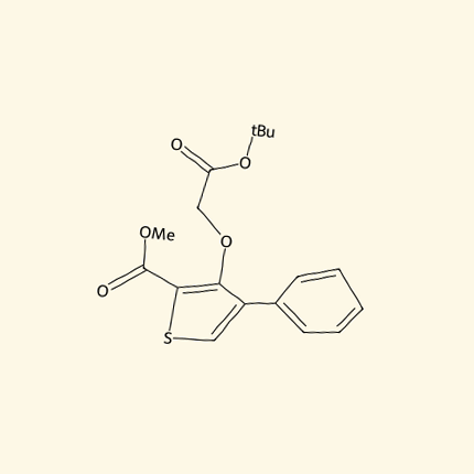 COC(=O)c1scc(-c2ccccc2)c1OCC(=O)OC(C)(C)C